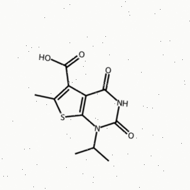 Cc1sc2c(c1C(=O)O)c(=O)[nH]c(=O)n2C(C)C